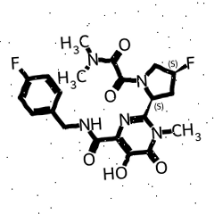 CN(C)C(=O)C(=O)N1C[C@@H](F)C[C@H]1c1nc(C(=O)NCc2ccc(F)cc2)c(O)c(=O)n1C